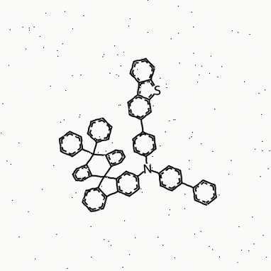 c1ccc(-c2ccc(N(c3ccc(-c4ccc5c(c4)sc4ccccc45)cc3)c3ccc4c(c3)C3(c5ccccc5-4)c4ccccc4C(c4ccccc4)(c4ccccc4)c4ccccc43)cc2)cc1